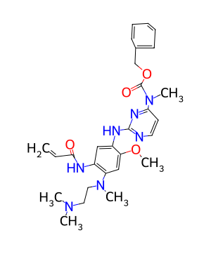 C=CC(=O)Nc1cc(Nc2nccc(N(C)C(=O)OCc3ccccc3)n2)c(OC)cc1N(C)CCN(C)C